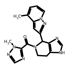 Cc1cccn2nc(C3c4nc[nH]c4CCN3C(=O)c3ncnn3C)cc12